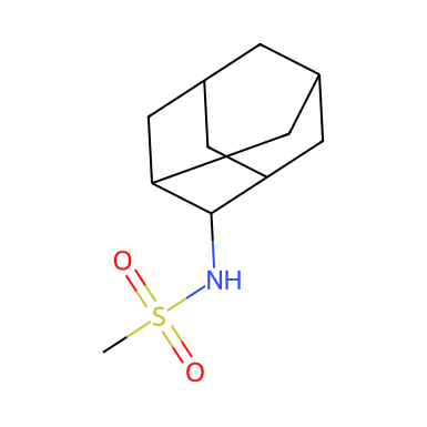 CS(=O)(=O)NC1C2CC3CC(C2)CC1C3